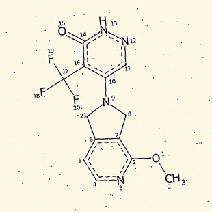 COc1nccc2c1CN(c1cn[nH]c(=O)c1C(F)(F)F)C2